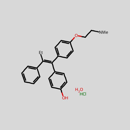 CC/C(=C(/c1ccc(O)cc1)c1ccc(OCCNC)cc1)c1ccccc1.Cl.O